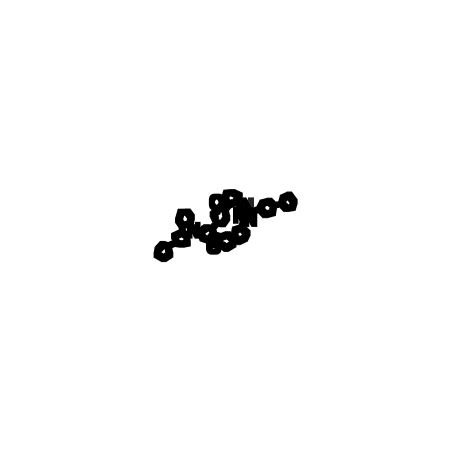 c1ccc(-c2ccc(-c3nc(-c4ccccc4)nc(-c4cccc5oc6cc(-c7cc(-n8c9ccccc9c9cc(-c%10ccccc%10)ccc98)cc8oc9ccccc9c78)ccc6c45)n3)cc2)cc1